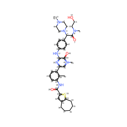 CCN1CCN(C(C(=O)N(C)CCO)c2ccc(Nc3nc(-c4cccc(NC(=O)c5cc6c(s5)CCCCC6)c4C)cn(C)c3=O)cc2)CC1